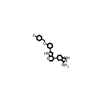 Nc1n[nH]c2ccc(-c3ccnc4[nH]c(-c5cccc(OCc6ccc(F)cc6)c5)cc34)cc12